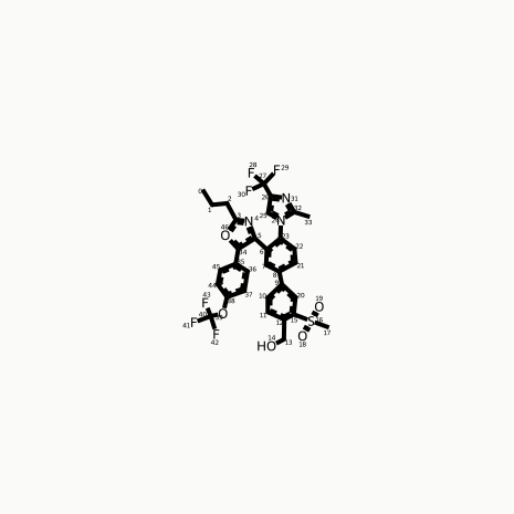 CCCc1nc(-c2cc(-c3ccc(CO)c(S(C)(=O)=O)c3)ccc2-n2cc(C(F)(F)F)nc2C)c(-c2ccc(OC(F)(F)F)cc2)o1